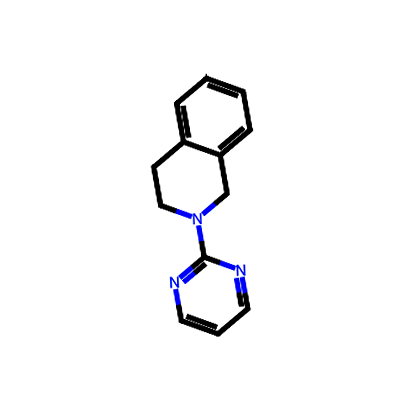 [c]1ccc2c(c1)CCN(c1ncccn1)C2